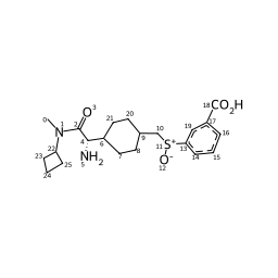 CN(C(=O)[C@@H](N)C1CCC(C[S+]([O-])c2cccc(C(=O)O)c2)CC1)C1CCC1